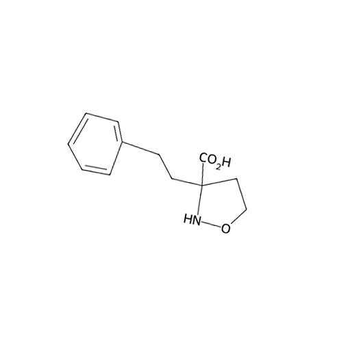 O=C(O)C1(CCc2ccccc2)CCON1